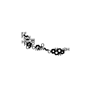 C[C@]12CC[C@@H]3c4ccc(OCCCNC(=O)c5ccc(OC[C@@]67CO[C@@H](O6)[C@H](Nc6cncc(C(F)(F)F)n6)[C@@H](O)[C@H]7O)nn5)cc4CC[C@H]3[C@@H]1CC[C@@H]2O